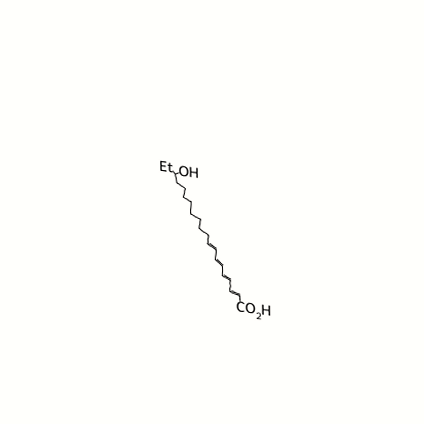 CCC(O)CCCCCCCCC=CC=CC=CC=CC(=O)O